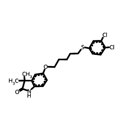 CC1(C)C(=O)Nc2ccc(OCCCCCSc3ccc(Cl)c(Cl)c3)cc21